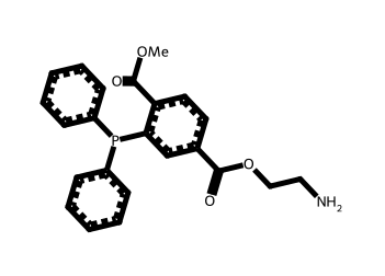 COC(=O)c1ccc(C(=O)OCCN)cc1P(c1ccccc1)c1ccccc1